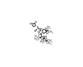 CC(C)(C)OC(=O)N[C@H](C(=O)N1C[C@H]2[C@H](C[C@H]1C(=O)N[C@H](C#N)C[C@@H]1CCNC1=O)C2(C)C)C(C)(C)C